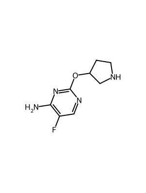 Nc1nc(OC2CCNC2)ncc1F